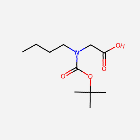 CCCCN(CC(=O)O)C(=O)OC(C)(C)C